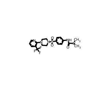 CN(C)C(=O)Nc1ccc(S(=O)(=O)N2CCN(c3ncccc3C(F)(F)F)CC2)cc1